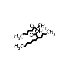 CCCC/C=C/C(CCCC)C(=O)O.CCCCCC(=O)OC